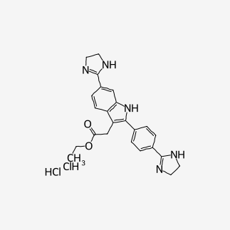 CCOC(=O)Cc1c(-c2ccc(C3=NCCN3)cc2)[nH]c2cc(C3=NCCN3)ccc12.Cl.Cl